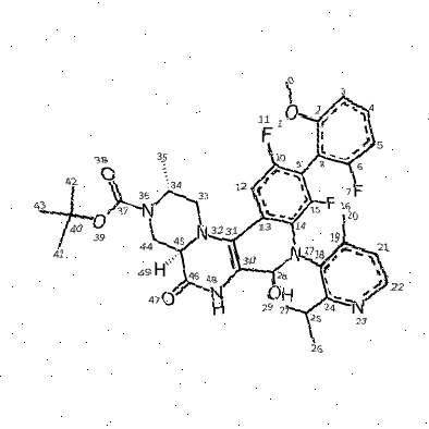 COc1cccc(F)c1-c1c(F)cc2c(c1F)N(c1c(C)ccnc1C(C)C)C(O)C1=C2N2C[C@@H](C)N(C(=O)OC(C)(C)C)C[C@@H]2C(=O)N1